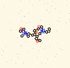 C1=CCC(c2nc(-c3ccc(-c4ccc5ccc6oc7c(-c8ccc9c(c8)oc8cccc(-c%10nc(-c%11ccc(-c%12ccc%13ccc%14oc%15ccccc%15c%14c%13c%12)cc%11)nc(-c%11ccc%12ccc%13ccccc%13c%12c%11)n%10)c89)cccc7c6c5c4)c4ccccc34)nc(-c3cccc4oc5ccccc5c34)n2)C=C1